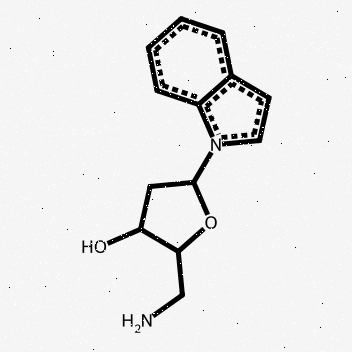 NCC1OC(n2ccc3ccccc32)CC1O